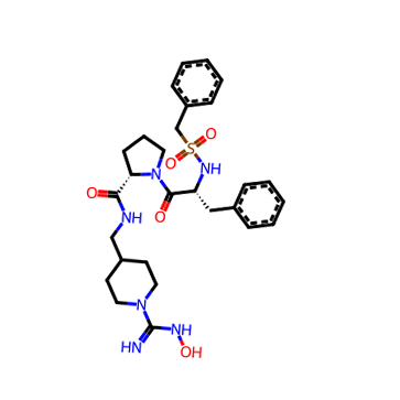 N=C(NO)N1CCC(CNC(=O)[C@@H]2CCCN2C(=O)[C@@H](Cc2ccccc2)NS(=O)(=O)Cc2ccccc2)CC1